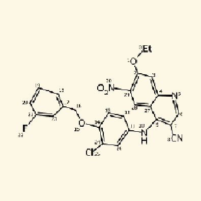 CCOc1cc2ncc(C#N)c(Nc3ccc(OCc4cccc(F)c4)c(Cl)c3)c2cc1[N+](=O)[O-]